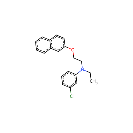 CCN(CCOc1ccc2ccccc2c1)c1cccc(Cl)c1